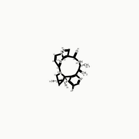 C=C1c2ncc(F)cc2[C@@H]2[C@H]3C[C@H]3CN2c2ccn3ncc(c3n2)C(=O)N[C@@H]1C